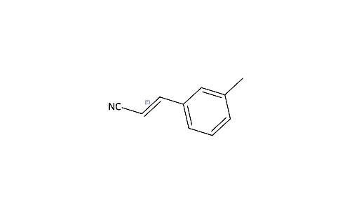 Cc1cccc(/C=C/C#N)c1